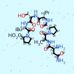 CC[C@H](C)[C@H](NC(=O)[C@H](CO)NC(=O)[C@@H](NC(=O)[C@@H]1CCCN1C(=O)[C@H](C)NC(=O)[C@@H](N)CC(N)=O)C(C)C)C(=O)N1CCC[C@H]1C(=O)O